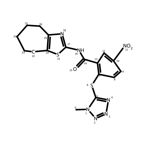 Cn1nnnc1Sc1ccc([N+](=O)[O-])cc1C(=O)Nc1nc2c(s1)CCCCC2